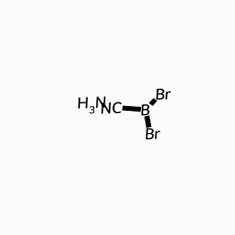 N.N#CB(Br)Br